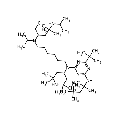 CCC(CC(C)(C)NC(C)C)N(CCCCCCN(c1nc(NC(C)(C)CC(C)(C)C)nc(C(C)(C)C)n1)C1CC(C)(C)NC(C)(C)C1)C(C)C